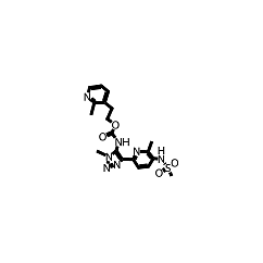 Cc1ncccc1CCOC(=O)Nc1c(-c2ccc(NS(C)(=O)=O)c(C)n2)nnn1C